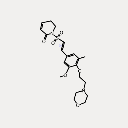 COc1cc(/C=C/S(=O)(=O)N2CCC=CC2=O)cc(C)c1OCCN1CCOCC1